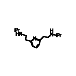 CC(C)NCCc1cccc(CCNC(C)C)n1